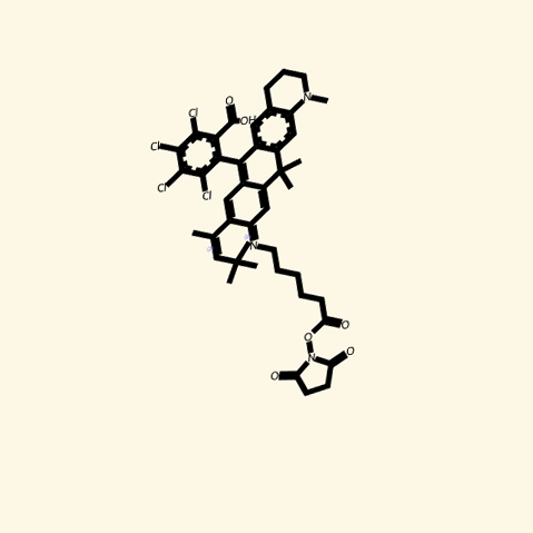 C/C(=C/C(C)(C)C)C1=CC2=C(c3c(Cl)c(Cl)c(Cl)c(Cl)c3C(=O)O)c3cc4c(cc3C(C)(C)C2=C/C1=N\CCCCCC(=O)ON1C(=O)CCC1=O)N(C)CCC4